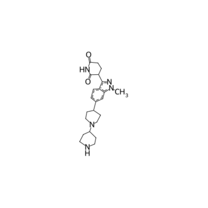 Cn1nc(C2CCC(=O)NC2=O)c2ccc(C3CCN(C4CCNCC4)CC3)cc21